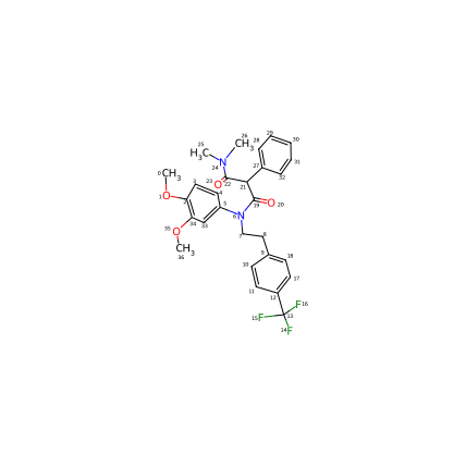 COc1ccc(N(CCc2ccc(C(F)(F)F)cc2)C(=O)C(C(=O)N(C)C)c2ccccc2)cc1OC